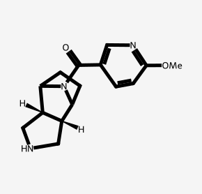 COc1ccc(C(=O)N2C3CCC2[C@@H]2CNC[C@H]32)cn1